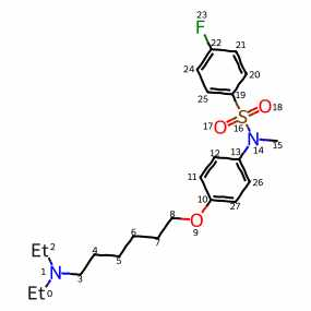 CCN(CC)CCCCCCOc1ccc(N(C)S(=O)(=O)c2ccc(F)cc2)cc1